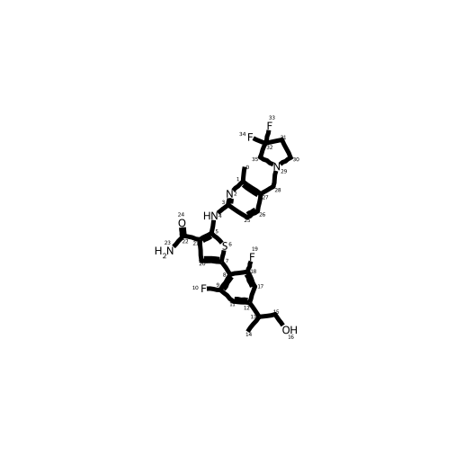 Cc1nc(Nc2sc(-c3c(F)cc(C(C)CO)cc3F)cc2C(N)=O)ccc1CN1CCC(F)(F)C1